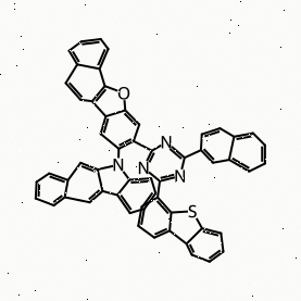 c1ccc2cc(-c3nc(-c4cc5oc6c7ccccc7ccc6c5cc4-n4c5ccccc5c5cc6ccccc6cc54)nc(-c4cccc5c4sc4ccccc45)n3)ccc2c1